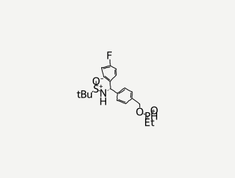 CC[PH](=O)OCc1ccc([C@H](N[S+]([O-])C(C)(C)C)c2ccc(F)cc2)cc1